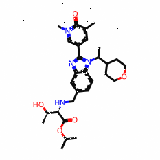 Cc1cc(-c2nc3cc(CN[C@H](C(=O)OC(C)C)[C@@H](C)O)ccc3n2C(C)C2CCOCC2)cn(C)c1=O